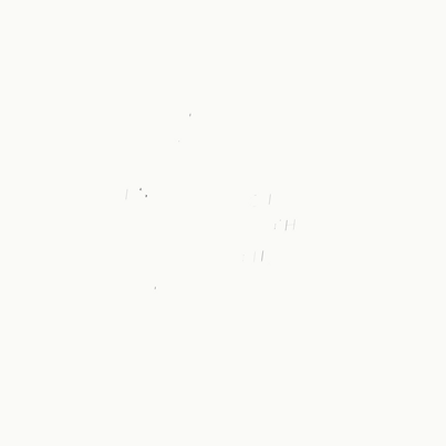 Cc1cc(-c2cc(=O)c3ccccc3[nH]2)cc(C(C)(C)C)c1